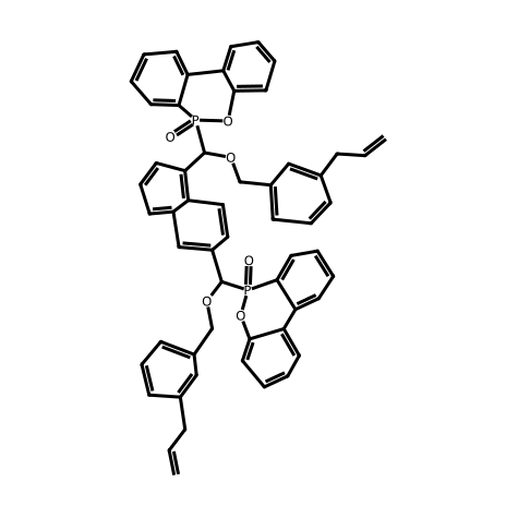 C=CCc1cccc(COC(c2ccc3c(C(OCc4cccc(CC=C)c4)P4(=O)Oc5ccccc5-c5ccccc54)cccc3c2)P2(=O)Oc3ccccc3-c3ccccc32)c1